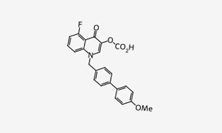 COc1ccc(-c2ccc(Cn3cc(OC(=O)O)c(=O)c4c(F)cccc43)cc2)cc1